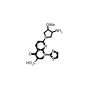 COC1CN(c2ccc3c(=O)c(C(=O)O)cn(-c4nccs4)c3n2)CC1N